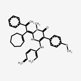 C=C/C=C\C(=C/C)NC1=C(c2ccc(OC)cc2)C(=O)N(C)/C(=C(\C(=C)c2ccccc2)C2=CCCCCC2)N1